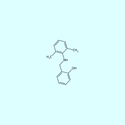 Cc1cccc(C)c1NCc1ccccc1O